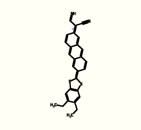 CCc1cc2c(cc1CC)SC(=c1ccc3cc4c/c(=C(\C#N)C=N)ccc4cc3c1)S2